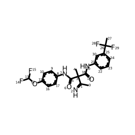 CC(=N)C(C)(C(=O)Nc1ccc(OC(F)F)cc1)C(=O)Nc1cccc(C(C)(F)F)c1